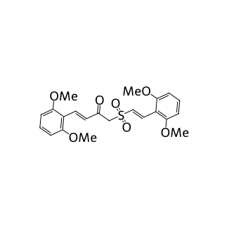 COc1cccc(OC)c1/C=C/C(=O)CS(=O)(=O)/C=C/c1c(OC)cccc1OC